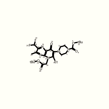 CCc1c(N2CCN(C(=O)OC(C)(C)C)CC2)c(=O)c2nc(C(F)F)c(C)nc2n1CC(=O)OC(C)(C)C